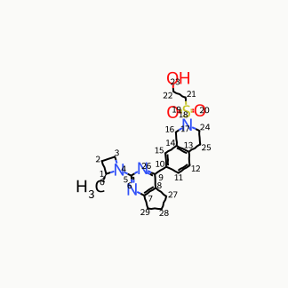 C[C@H]1CCN1c1nc2c(c(-c3ccc4c(c3)CN(S(=O)(=O)CCO)CC4)n1)CCC2